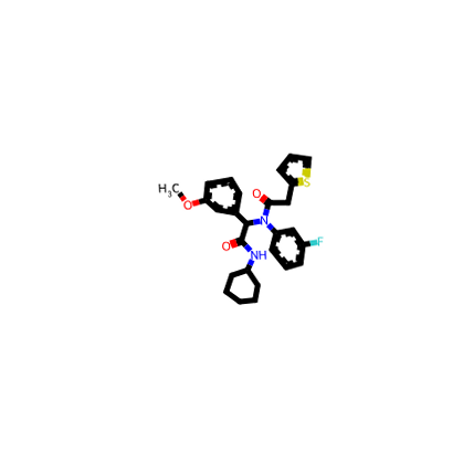 COc1cccc(C(C(=O)NC2CCCCC2)N(C(=O)Cc2cccs2)c2cccc(F)c2)c1